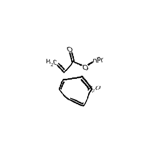 C=CC(=O)OCCC.O.c1ccccc1